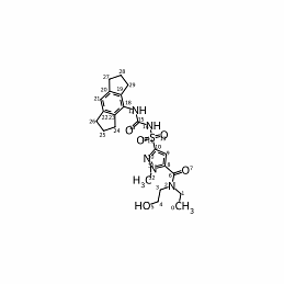 CCN(CCO)C(=O)c1cc(S(=O)(=O)NC(=O)Nc2c3c(cc4c2CCC4)CCC3)nn1C